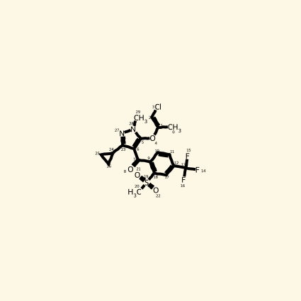 CC(=CCl)Oc1c(C(=O)c2ccc(C(F)(F)F)cc2S(C)(=O)=O)c(C2CC2)nn1C